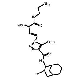 COC(/C=C/n1ncc(C(=O)NC2C(C)CC3CCCC2C3)c1OCC(C)C)C(=O)NCCN